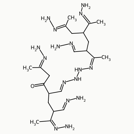 C/C(=N/N)C(/C=N/N)CC(/C=N/NN/N=C(/C)C(/C=N/N)CC(C/C(C)=N/N)/C(C)=N/N)C(=O)C/C(C)=N/N